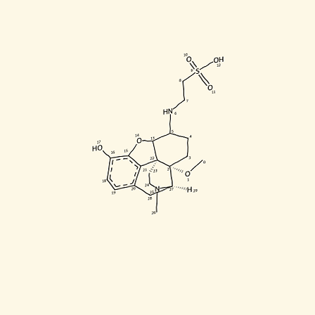 CO[C@@]12CCC(NCCS(=O)(=O)O)C3Oc4c(O)ccc5c4[C@@]31CCN(C)[C@@H]2C5